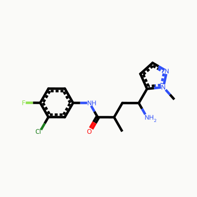 CC(CC(N)c1ccnn1C)C(=O)Nc1ccc(F)c(Cl)c1